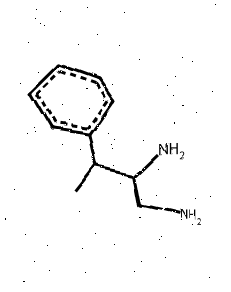 CC(c1ccccc1)C(N)CN